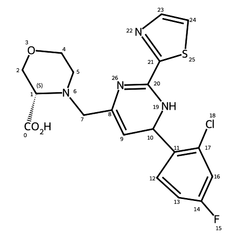 O=C(O)[C@@H]1COCCN1CC1=CC(c2ccc(F)cc2Cl)NC(c2nccs2)=N1